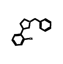 N#Cc1ccccc1C1CCN(Cc2ccccc2)C1